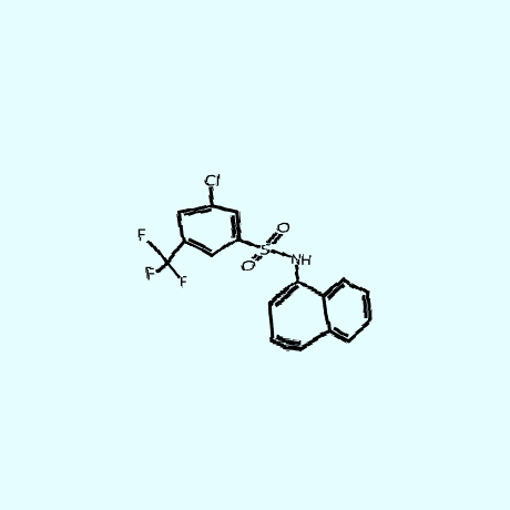 O=S(=O)(Nc1cccc2ccccc12)c1cc(Cl)cc(C(F)(F)F)c1